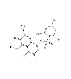 CCOc1c(=O)n(C2CC2)cc2c(OS(=O)(=O)c3c(C(C)C)cc(C(C)C)cc3C(C)C)nn(C)c(=O)c12